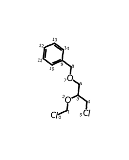 ClCOC(CCl)COCc1ccccc1